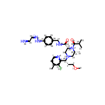 COCC[C@H](c1nccc(C)c1F)N1C[C@@H](C)N(C(=O)C(C)C)[C@@H](C(=O)NCc2ccc(N/N=C\C=N)cc2)C1